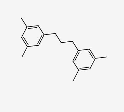 Cc1cc(C)cc(CCCc2cc(C)cc(C)c2)c1